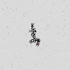 O=C(CC1CC(F)(F)C1)N[C@@H](c1ccn2cc([C@@H](NC(=O)c3nocc3CC(F)(F)F)C3CCC(F)(F)CC3)nc2n1)C1CC1